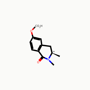 C[C@@H]1Cc2cc(OC(=O)O)ccc2C(=O)N1C